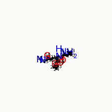 CC(C)(C)C[C@H](N)C(=O)N[C@@H](CCC(=O)C=[N+]=[N-])C(=O)OC(C)(C)C